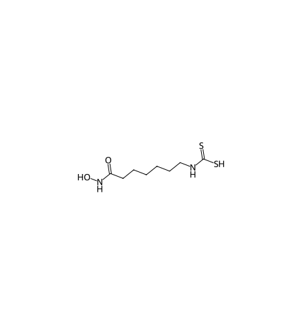 O=C(CCCCCCNC(=S)S)NO